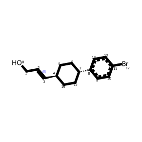 OC/C=C/[C@H]1CC[C@H](c2ccc(Br)cc2)CC1